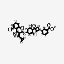 COC(=O)c1cccc([C@H]2C[C@](O)(C3CC=C(OCc4c(-c5c(Cl)cccc5Cl)noc4C4CC4)C=C3Cl)C2)c1